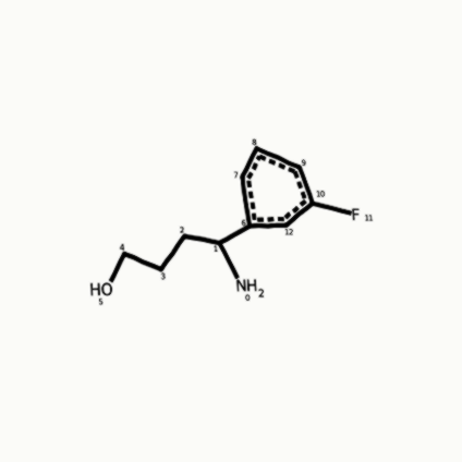 NC(CCCO)c1cccc(F)c1